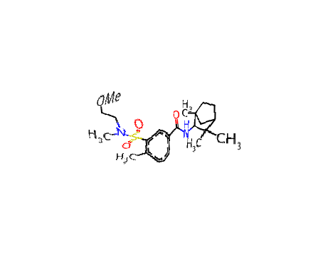 COCCN(C)S(=O)(=O)c1cc(C(=O)NC2C3(C)CCC(C3)C2(C)C)ccc1C